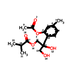 CC(=O)Oc1cc(C)ccc1C(O)(CO)COC(=O)C(C)C